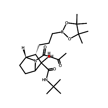 CC(=O)NC1(C(=O)NC(C)(C)C)C2CC[C@H]([C@@H]1CCCB1OC(C)(C)C(C)(C)O1)N2C(=O)O